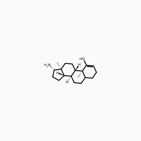 C[C@]12CC[C@H]3[C@@H](CCC4CCC=C(O)[C@@]43C)[C@@H]1CC[C@@H]2N